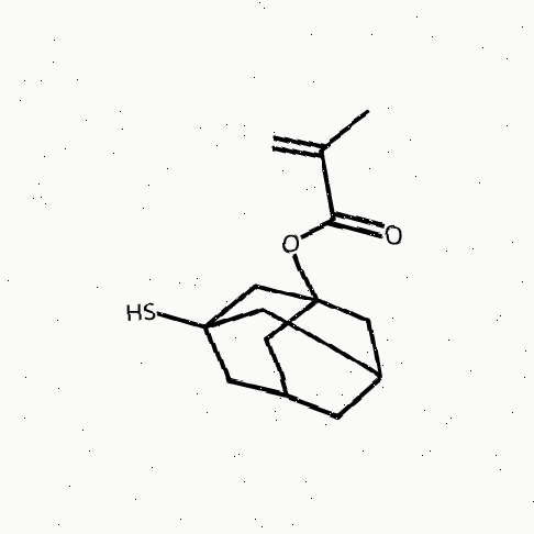 C=C(C)C(=O)OC12CC3CC(CC(S)(C3)C1)C2